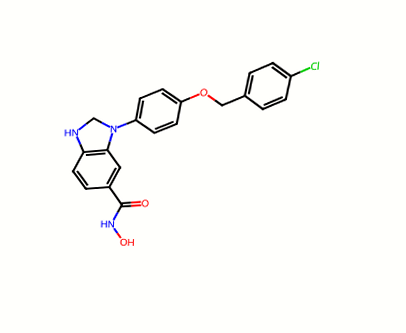 O=C(NO)c1ccc2c(c1)N(c1ccc(OCc3ccc(Cl)cc3)cc1)CN2